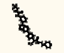 CC(C(=O)NCCN1CCOCC1)c1ccc(-c2cnn3c(-c4cccc(NC(=O)NCC(F)(F)F)c4)cnc3c2)cc1